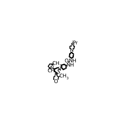 CC(C)N1CCN(c2ccc(NC(=O)Nc3ccc(N4C=C(N5[C@H](C)CC[C@@H]5C)C=C(N5CCOCC5C)S4)cc3)cc2)CC1